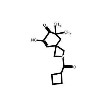 CC1(C)CC2(C=C(C#N)C1=O)CN(C(=O)C1CCC1)C2